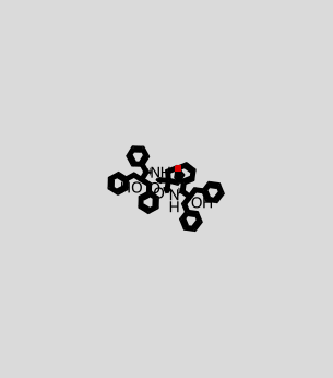 O=C(N[C@H](c1ccccc1)C(O)(Cc1ccccc1)Cc1ccccc1)C1(C(=O)N[C@H](c2ccccc2)C(O)(Cc2ccccc2)Cc2ccccc2)CCCC1